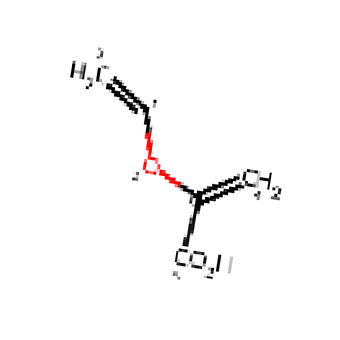 C=COC(=C)C(=O)O